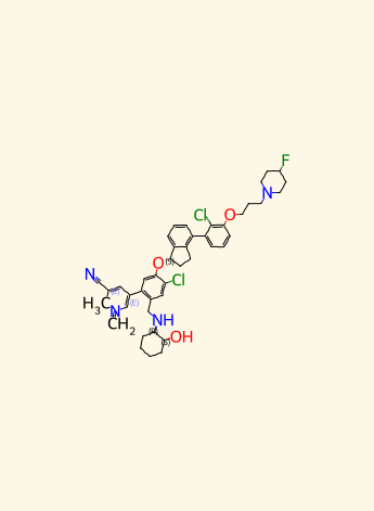 C=N/C=C(\C=C(/C)C#N)c1cc(O[C@H]2CCc3c(-c4cccc(OCCCN5CCC(F)CC5)c4Cl)cccc32)c(Cl)cc1CN[C@@H]1CCCC[C@@H]1O